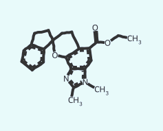 CCOC(=O)c1cc2c(nc(C)n2C)c2c1CCC1(CCc3ccccc31)O2